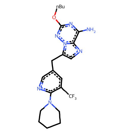 CCCCOc1nc(N)c2ncc(Cc3cnc(N4CCCCC4)c(C(F)(F)F)c3)n2n1